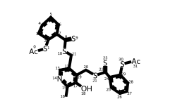 CC(=O)Sc1ccccc1C(=S)SCc1cnc(C)c(O)c1CSC(=S)c1ccccc1SC(C)=O